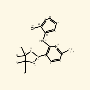 CC1(C)OB(c2ccc(C(F)(F)F)nc2Nc2ccccc2Cl)OC1(C)C